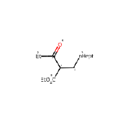 CCCCCCCCC(C(=O)CC)C(=O)OCC